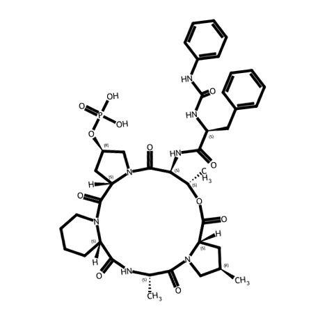 C[C@@H]1C[C@H]2C(=O)O[C@@H](C)[C@H](NC(=O)[C@H](Cc3ccccc3)NC(=O)Nc3ccccc3)C(=O)N3C[C@H](OP(=O)(O)O)C[C@H]3C(=O)N3CCCC[C@H]3C(=O)N[C@@H](C)C(=O)N2C1